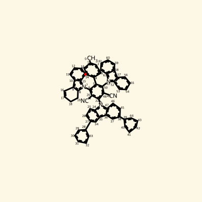 Cc1ccc(-c2c(-n3c4c(c5ccccc53)C=CCC4)c(C#N)c(-n3c4ccc(-c5ccccc5)cc4c4cc(-c5ccccc5)ccc43)c(C#N)c2-n2c3ccccc3c3ccccc32)cc1